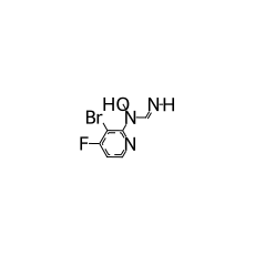 [H]/N=C/N(O)c1nccc(F)c1Br